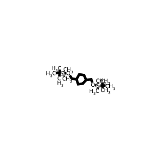 CC(C)(C)[Si](C)(C)OCC1CCC(CO[Si](C)(C)C(C)(C)C)CC1